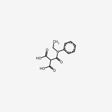 CCN(C(=O)C(C(=O)O)C(=O)O)c1ccccc1